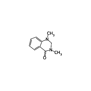 CN1CN(C)c2ccccc2C1=O